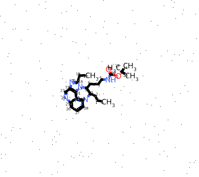 CCCC(N)C(CCCNC(=O)OC(C)(C)C)n1c(CC)nc2cnc3ccccc3c21